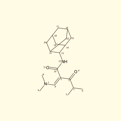 CC(C)C(=O)C(=CN(C)C)C(=O)NC1C2CC3CC(C2)CC1C3